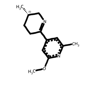 COc1cc(C2=NC[C@@H](C)CC2)cc(C)n1